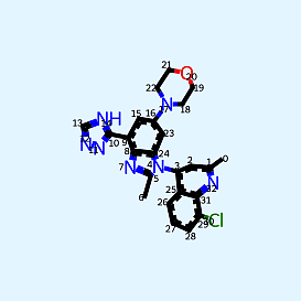 Cc1cc(-n2c(C)nc3c(-c4nnc[nH]4)cc(N4CCOCC4)cc32)c2cccc(Cl)c2n1